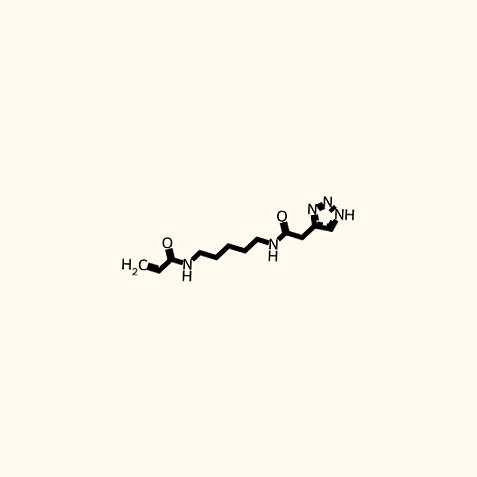 C=CC(=O)NCCCCCNC(=O)Cc1c[nH]nn1